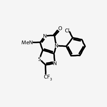 CNc1nc(=O)n(-c2ccccc2Cl)c2nc(C(F)(F)F)sc12